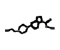 CC(C)(C)OC(=O)n1ccc2cc(N3CCN(CCO)CC3)ccc21